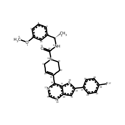 COc1cccc([C@H](C)NC(=O)N2CC=C(c3ncnc4cc(-c5ccc(F)cc5)sc34)CC2)c1